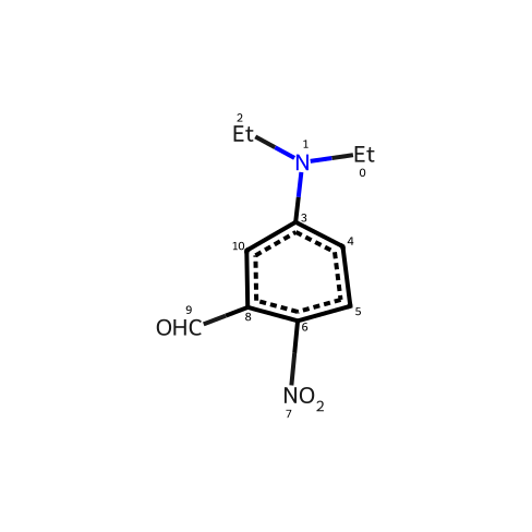 CCN(CC)c1ccc([N+](=O)[O-])c(C=O)c1